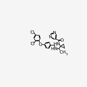 CC(NCc1ccc(Oc2ccc(Cl)cc2Cl)cc1)C1(NC(=O)c2cncnc2)CC1